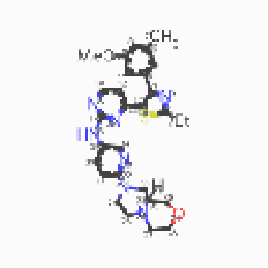 CCc1nc(-c2cc(C)cc(OC)c2)c(-c2ccnc(Nc3ccc(N4CCN5CCOC[C@H]5C4)nc3)n2)s1